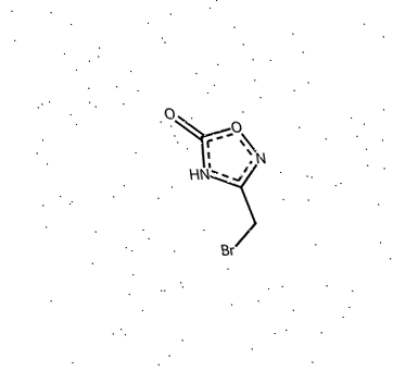 O=c1[nH]c(CBr)no1